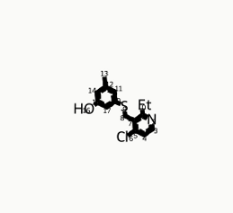 CCc1nccc(Cl)c1CSc1cc(C)cc(O)c1